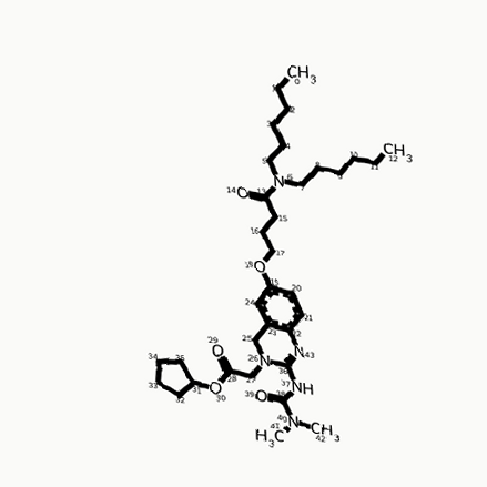 CCCCCCN(CCCCCC)C(=O)CCCOc1ccc2c(c1)CN(CC(=O)OC1CCCC1)C(NC(=O)N(C)C)=N2